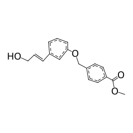 COC(=O)c1ccc(COc2cccc(C=CCO)c2)cc1